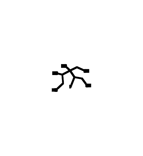 OCC(O)C(O)(CO)C(F)CO